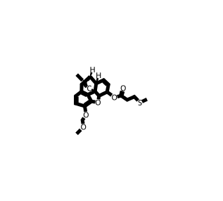 COCOc1ccc2c3c1OC1C(OC(=O)CCSC)C=C[C@H]4[C@@H](C2)N(C)CC[C@]314